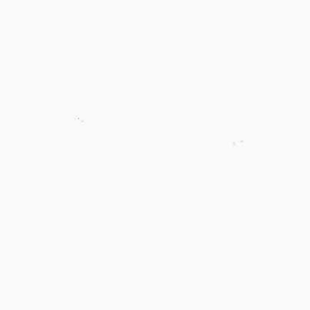 CCCCCCCCCCCCc1ccc(C(=O)c2cc([N+](=O)[O-])ccc2O)cc1